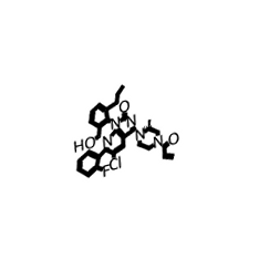 C=CC(=O)N1CCN(c2nc(=O)n(-c3c(CO)cccc3CCC)c3nc(-c4ccccc4F)c(Cl)cc23)[C@@H](C)C1